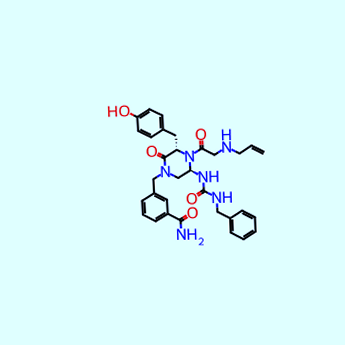 C=CCNCC(=O)N1[C@@H](NC(=O)NCc2ccccc2)CN(Cc2cccc(C(N)=O)c2)C(=O)[C@@H]1Cc1ccc(O)cc1